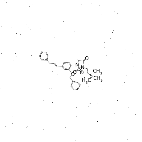 C[Si](C)(C)CCN1C(=O)CN(c2ccc(/C=C/Cc3ccccc3)cc2OCc2ccccc2)S1(=O)=O